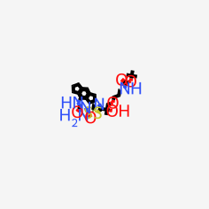 CC(C)(C)OC(=O)NCCCOCC(C)(O)c1ncc(S(N)(=O)=NC(=O)Nc2c3c(cc4c2CCC4)CCC3)s1